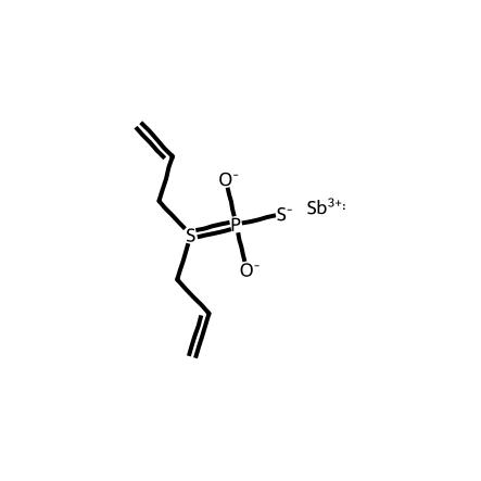 C=CCS(CC=C)=P([O-])([O-])[S-].[Sb+3]